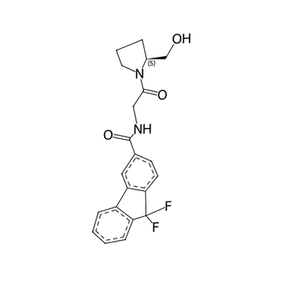 O=C(NCC(=O)N1CCC[C@H]1CO)c1ccc2c(c1)-c1ccccc1C2(F)F